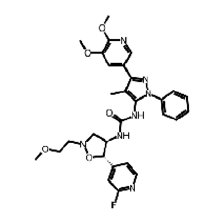 COCCN1C[C@@H](NC(=O)Nc2c(C)c(-c3cnc(OC)c(OC)c3)nn2-c2ccccc2)[C@H](c2ccnc(F)c2)O1